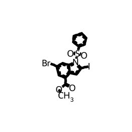 COC(=O)c1cc(Br)cc2c1cc(I)n2S(=O)(=O)c1ccccc1